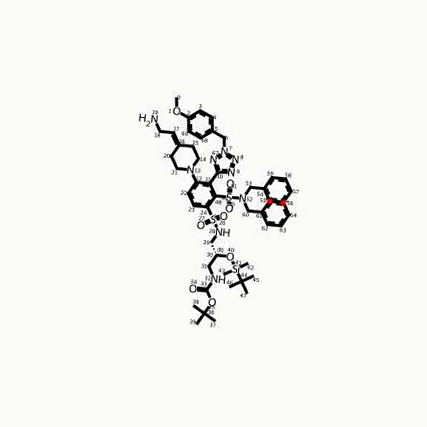 COc1ccc(Cn2nnc(-c3c(N4CCC(=CCN)CC4)ccc(S(=O)(=O)NC[C@@H](CNC(=O)OC(C)(C)C)O[Si](C)(C)C(C)(C)C)c3S(=O)(=O)N(Cc3ccccc3)Cc3ccccc3)n2)cc1